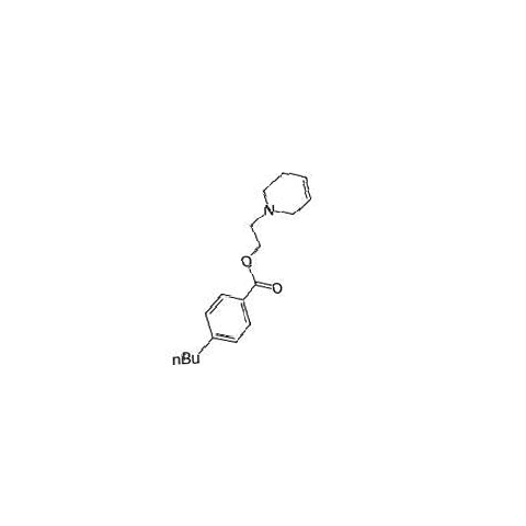 CCCCc1ccc(C(=O)OCCN2CC=CCC2)cc1